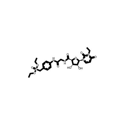 CCOP(=O)(Cc1ccc(NC(=O)CNC(=O)[C@H]2O[C@@H](n3ccc(=O)n(CC)c3=O)[C@H](O)[C@@H]2O)cc1)OCC